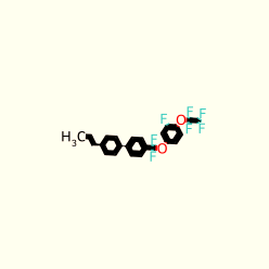 CCC[C@H]1CC[C@H](c2ccc(C(F)(F)Oc3ccc(OC(F)(F)C(F)F)c(F)c3)cc2)CC1